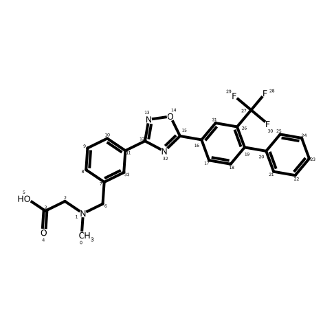 CN(CC(=O)O)Cc1cccc(-c2noc(-c3ccc(-c4ccccc4)c(C(F)(F)F)c3)n2)c1